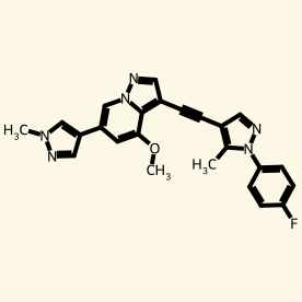 COc1cc(-c2cnn(C)c2)cn2ncc(C#Cc3cnn(-c4ccc(F)cc4)c3C)c12